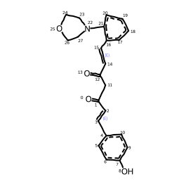 O=C(/C=C/c1ccc(O)cc1)CC(=O)/C=C/c1ccccc1N1CCOCC1